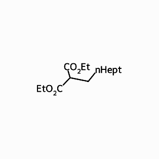 CCCCCCCCC(C(=O)OCC)C(=O)OCC